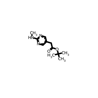 CNc1ncc(CC(=O)OC(C)(C)C)cn1